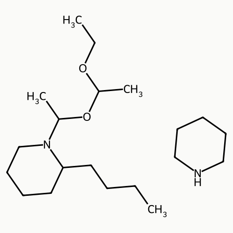 C1CCNCC1.CCCCC1CCCCN1C(C)OC(C)OCC